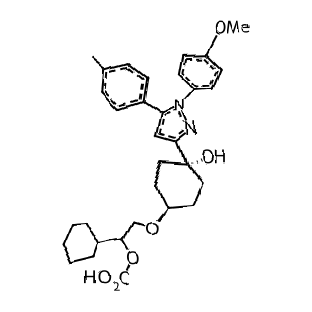 COc1ccc(-n2nc([C@]3(O)CC[C@H](OCC(OC(=O)O)C4CCCCC4)CC3)cc2-c2ccc(C)cc2)cc1